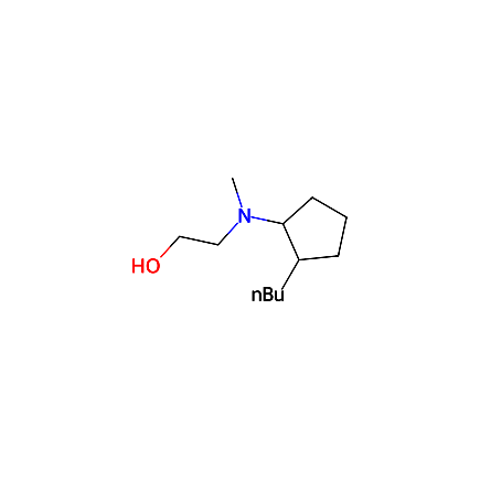 CCCCC1CCCC1N(C)CCO